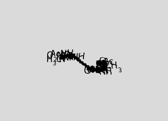 CC(=O)Nc1cc(NCCCCCCCCCCC(=O)N2CCN(c3ccc(Nc4ncc5c(C)c(C(C)=O)c(=O)n(C6CCCC6)c5n4)nc3)CC2)ccc1C(=O)Nc1nc(C)c([N+](=O)[O-])s1